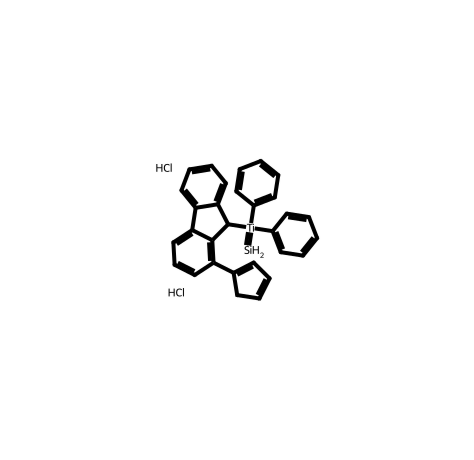 Cl.Cl.[SiH2]=[Ti]([c]1ccccc1)([c]1ccccc1)[CH]1c2ccccc2-c2cccc(C3=CC=CC3)c21